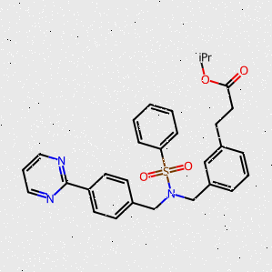 CC(C)OC(=O)CCc1cccc(CN(Cc2ccc(-c3ncccn3)cc2)S(=O)(=O)c2ccccc2)c1